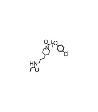 C=CC(=O)NCCCC1CCN(C(=O)C(C)(C)Oc2ccc(Cl)cc2)CC1